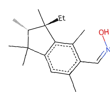 CC[C@@]1(C)c2c(cc(C)c(/C=N\O)c2C)C(C)(C)[C@@H]1C